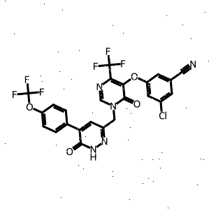 N#Cc1cc(Cl)cc(Oc2c(C(F)(F)F)ncn(Cc3cc(-c4ccc(OC(F)(F)F)cc4)c(=O)[nH]n3)c2=O)c1